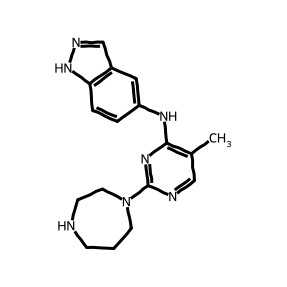 Cc1cnc(N2CCCNCC2)nc1Nc1ccc2[nH]ncc2c1